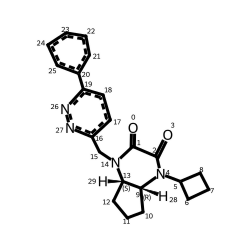 O=C1C(=O)N(C2CCC2)[C@@H]2CCC[C@@H]2N1Cc1ccc(-c2ccccc2)nn1